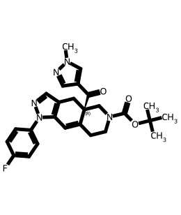 Cn1cc(C(=O)[C@]23Cc4cnn(-c5ccc(F)cc5)c4C=C2CCN(C(=O)OC(C)(C)C)C3)cn1